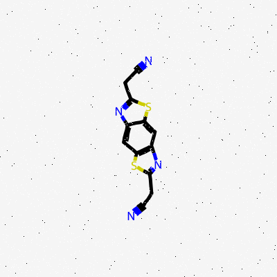 N#CCc1nc2cc3sc(CC#N)nc3cc2s1